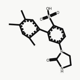 Cc1cc(C)c(-c2cc(N3CCNC3=O)ccc2S(=O)(=O)O)cc1C